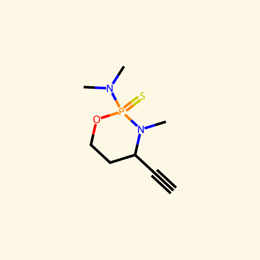 C#CC1CCOP(=S)(N(C)C)N1C